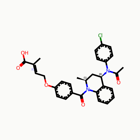 CC(=O)N(c1ccc(Cl)cc1)[C@@H]1C[C@H](C)N(C(=O)c2ccc(OC/C=C(\C)C(=O)O)cc2)c2ccccc21